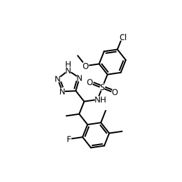 COc1cc(Cl)ccc1S(=O)(=O)NC(c1nn[nH]n1)C(C)c1c(F)ccc(C)c1C